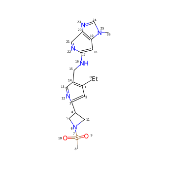 CCc1cc(C2CN(S(C)(=O)=O)C2)ncc1CNc1cc2c(cn1)ncn2C